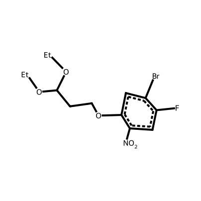 CCOC(CCOc1cc(Br)c(F)cc1[N+](=O)[O-])OCC